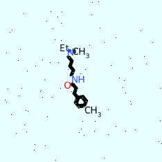 CCN(C)CCCCCNC(=O)CCc1ccc(C)cc1